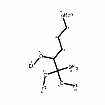 CCCCCCCCCCCCC(OCC)C([SiH3])(OCC)OCC